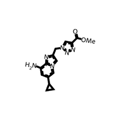 COC(=O)c1cn(Cc2cn3cc(C4CC4)cc(N)c3n2)nn1